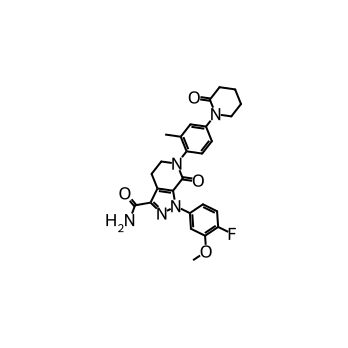 COc1cc(-n2nc(C(N)=O)c3c2C(=O)N(c2ccc(N4CCCCC4=O)cc2C)CC3)ccc1F